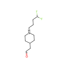 O=CCC1CC[SiH](CCCC(F)F)CC1